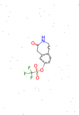 O=C1Cc2cc(OS(=O)(=O)C(F)(F)F)ccc2CCN1